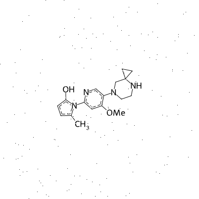 COc1cc(-n2c(C)ccc2O)ncc1N1CCNC2(CC2)C1